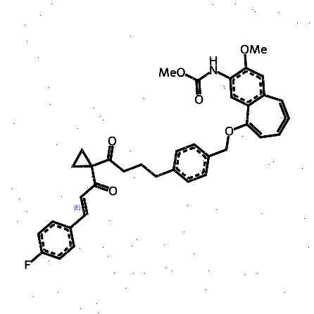 COC(=O)Nc1cc2c(cc1OC)C=C=CC=C2OCc1ccc(CCCC(=O)C2(C(=O)/C=C/c3ccc(F)cc3)CC2)cc1